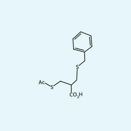 CC(=O)SCC(CSCc1ccccc1)C(=O)O